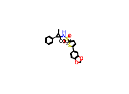 CC1[C@H](c2ccccc2)[C@]1(NS(=O)(=O)c1ccc(-c2ccc3c(c2)OCO3)s1)C(=O)O